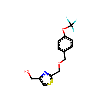 OCc1csc(COCc2ccc(OC(F)(F)F)cc2)n1